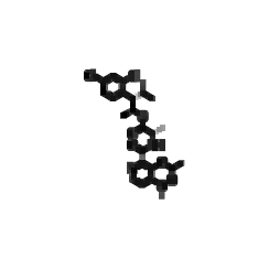 COc1ccnc(C(=O)N[C@@H](C)C(=O)O[C@@H](C)[C@H](c2ccc(Cl)cc2Cl)C(C)C)c1OC(C)=O